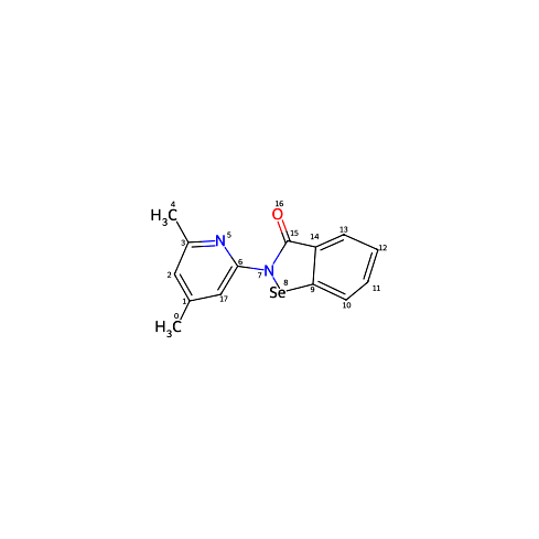 Cc1cc(C)nc(-n2[se]c3ccccc3c2=O)c1